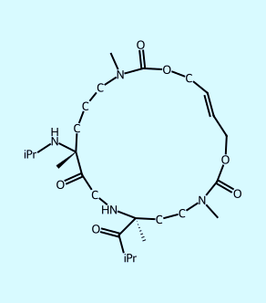 CC(C)N[C@]1(C)CCCN(C)C(=O)OC/C=C/COC(=O)N(C)CC[C@@](C)(C(=O)C(C)C)NCC1=O